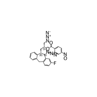 [N-]=[N+]=NC[C@H](C[C@@H]1c2ccccc2Cc2ccc(F)cc2[C@H]1N=[N+]=[N-])OC(=O)c1ccc(N=O)cc1